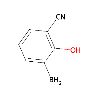 Bc1cccc(C#N)c1O